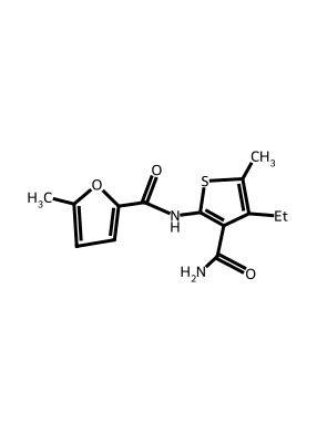 CCc1c(C)sc(NC(=O)c2ccc(C)o2)c1C(N)=O